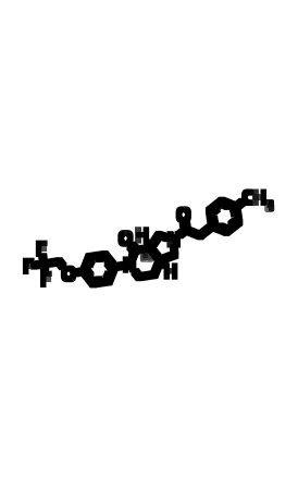 Cc1ccc(CC(=O)N2C[C@H]3CCN(c4ccc(OCC(F)(F)F)cc4)C(=O)[C@H]3C2)cc1